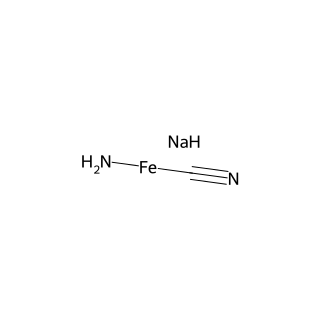 N#[C][Fe][NH2].[NaH]